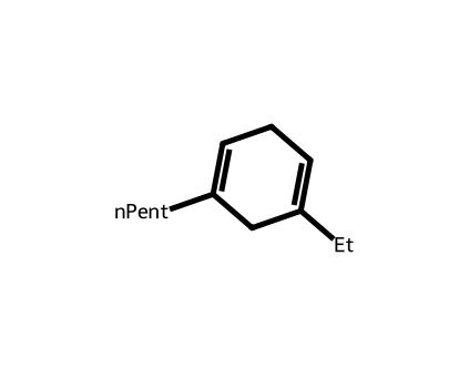 CCCCCC1=CCC=C(CC)C1